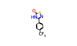 O=c1[nH]c(-c2ccc(C(F)(F)F)cc2)ns1